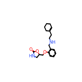 O=C1NCC(COc2ccccc2CNCCC2=CCCCC2)O1